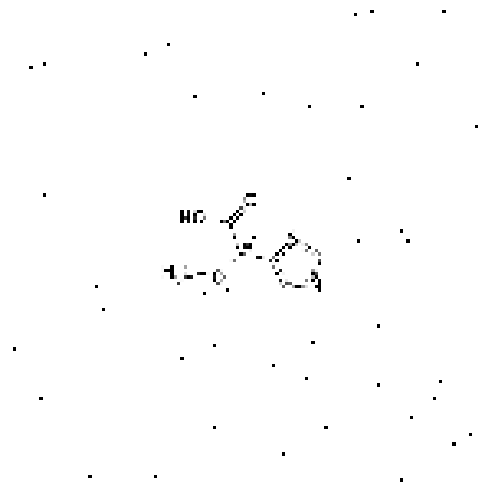 CO[C@H](C(=O)O)c1cncs1